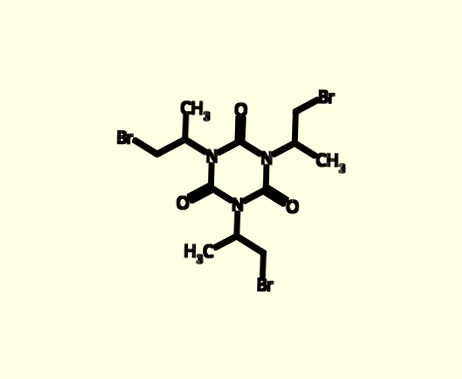 CC(CBr)n1c(=O)n(C(C)CBr)c(=O)n(C(C)CBr)c1=O